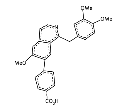 COc1ccc(Cc2nccc3cc(OC)c(-c4ccc(C(=O)O)cc4)cc23)cc1OC